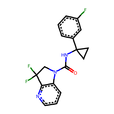 O=C(NC1(c2cccc(F)c2)CC1)N1CC(F)(F)c2ncccc21